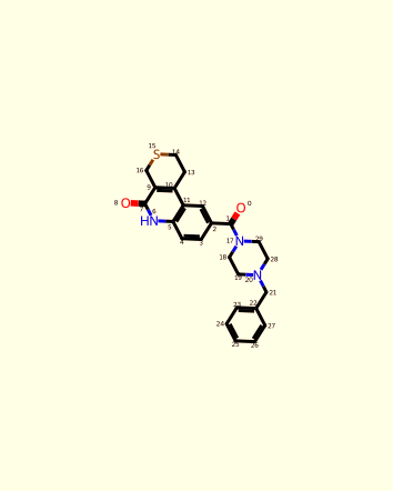 O=C(c1ccc2[nH]c(=O)c3c(c2c1)CCSC3)N1CCN(Cc2ccccc2)CC1